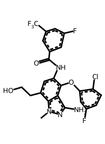 Cn1nc(N)c2c(Oc3cc(F)ccc3Cl)c(NC(=O)c3cc(F)cc(C(F)(F)F)c3)cc(CCO)c21